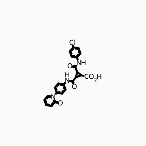 O=C(O)C1C(C(=O)Nc2ccc(Cl)cc2)C1C(=O)Nc1ccc(-n2ccccc2=O)cc1